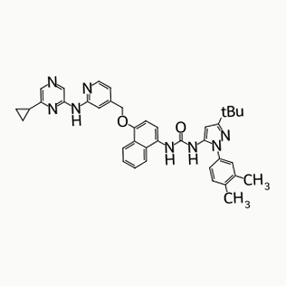 Cc1ccc(-n2nc(C(C)(C)C)cc2NC(=O)Nc2ccc(OCc3ccnc(Nc4cncc(C5CC5)n4)c3)c3ccccc23)cc1C